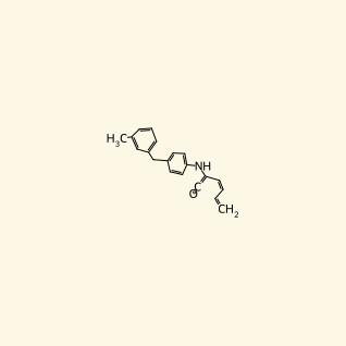 C=C/C=C\C(=C=O)Nc1ccc(Cc2cccc(C)c2)cc1